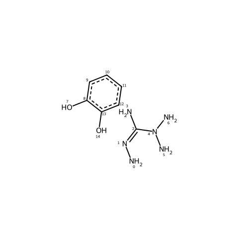 NN=C(N)N(N)N.Oc1ccccc1O